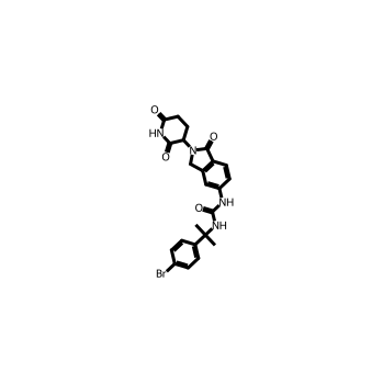 CC(C)(NC(=O)Nc1ccc2c(c1)CN(C1CCC(=O)NC1=O)C2=O)c1ccc(Br)cc1